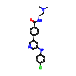 CN(C)CCNC(=O)c1ccc(-c2cncc(Nc3ccc(Cl)cc3)c2)cc1